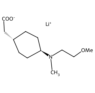 COCCN(C)[C@H]1CC[C@H](CC(=O)[O-])CC1.[Li+]